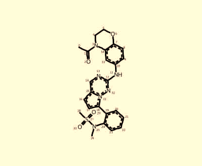 CC(=O)N1CCOc2ccc(Nc3ncc4ccc(-c5ccccc5N(C)S(C)(=O)=O)n4n3)cc21